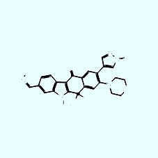 C/N=C\c1ccc2c3c([nH]c2c1)C(C)(C)c1cc(N2CCOCC2)c(-c2cnn(C)c2)cc1C3=O